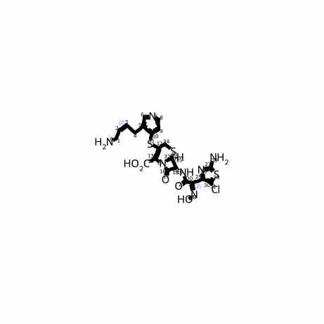 NC/C=C\Cc1cnccc1SC1=C(C(=O)O)N2C(=O)[C@@H](NC(=O)/C(=N\O)c3nc(N)sc3Cl)[C@@H]2SC1